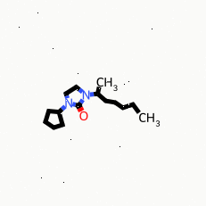 CCCCCC(C)N1CCN(C2CCCC2)C1=O